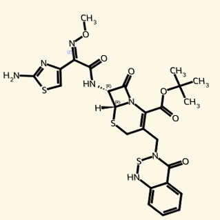 CO/N=C(\C(=O)N[C@@H]1C(=O)N2C(C(=O)OC(C)(C)C)=C(CN3SNc4ccccc4C3=O)CS[C@H]12)c1csc(N)n1